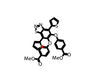 COC(=O)c1ccc(Oc2c(Oc3ccc(C(=O)OC)cc3)c(-c3cccs3)c3snnc3c2-c2cccs2)cc1